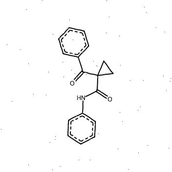 O=C(Nc1ccccc1)C1(C(=O)c2ccccc2)CC1